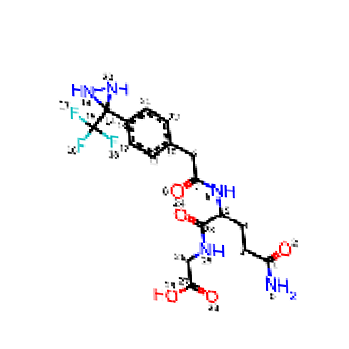 NC(=O)CCC(NC(=O)Cc1ccc(C2(C(F)(F)F)NN2)cc1)C(=O)NCC(=O)O